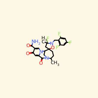 CC1CCC2(CC(C)(F)N(Cc3c(F)cc(F)cc3F)O2)C2CN1C(=O)c1cc(=O)c(C(N)=O)cn12